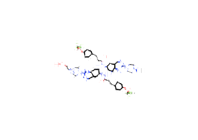 CN1CCN(c2ncc3cc(NC(=O)CCc4ccc(OC(F)(F)F)cc4)ccc3n2)CC1.O=C(CCc1ccc(OC(F)(F)F)cc1)Nc1ccc2nc(N3CCN(CCO)CC3)ncc2c1